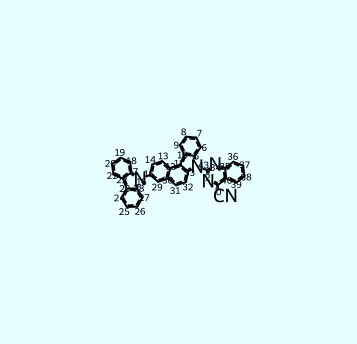 N#Cc1nc(-n2c3ccccc3c3c4ccc(-n5c6ccccc6c6ccccc65)cc4ccc32)nc2ccccc12